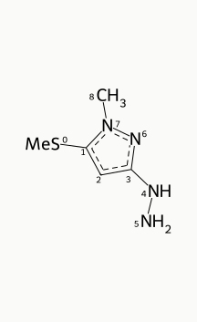 CSc1cc(NN)nn1C